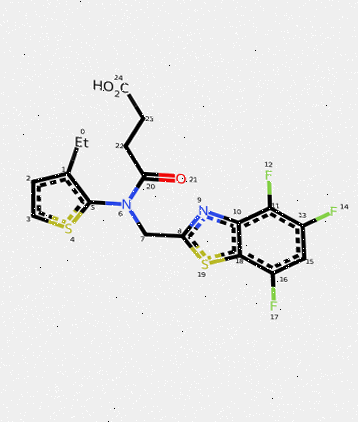 CCc1ccsc1N(Cc1nc2c(F)c(F)cc(F)c2s1)C(=O)CCC(=O)O